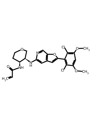 C=CC(=O)N[C@H]1CCOC[C@H]1Nc1cc2cc(-c3c(Cl)c(OC)cc(OC)c3Cl)oc2cn1